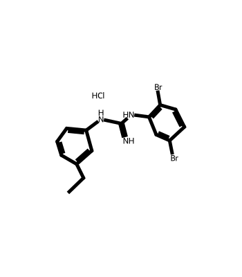 CCc1cccc(NC(=N)Nc2cc(Br)ccc2Br)c1.Cl